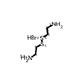 Br.NCCSSCCN